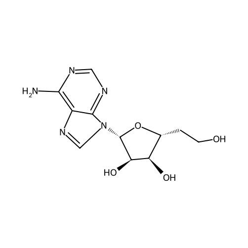 Nc1ncnc2c1ncn2[C@@H]1O[C@H](CCO)[C@@H](O)[C@H]1O